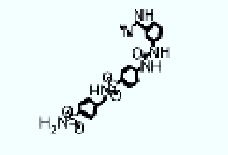 CN(C)C(=N)c1cccc(NC(=O)Nc2ccc(S(=O)(=O)NCc3ccc(S(N)(=O)=O)cc3)cc2)c1